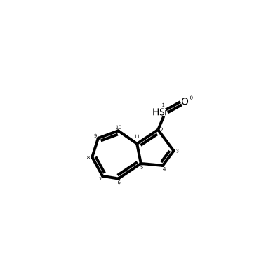 O=[SiH]c1ccc2cccccc1-2